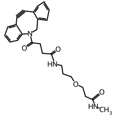 CNC(=O)CCOCCCNC(=O)CCC(=O)N1Cc2ccccc2C#Cc2ccccc21